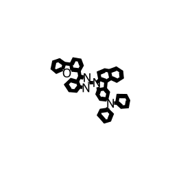 c1ccc(N(c2ccccc2)c2ccc3c(c2)c2c4ccccc4ccc2n3-c2nc(-c3cccc4c3oc3ccccc34)c3ccccc3n2)cc1